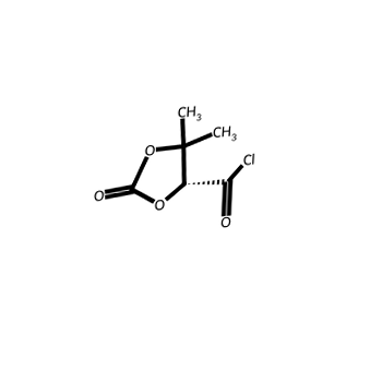 CC1(C)OC(=O)O[C@H]1C(=O)Cl